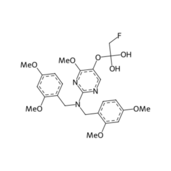 COc1ccc(CN(Cc2ccc(OC)cc2OC)c2ncc(OC(O)(O)CF)c(OC)n2)c(OC)c1